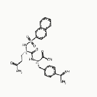 N=C(N)c1ccc(C[C@H](NC(=O)[C@H](CCC(N)=O)NS(=O)(=O)c2ccc3ccccc3c2)C(=O)O)cc1